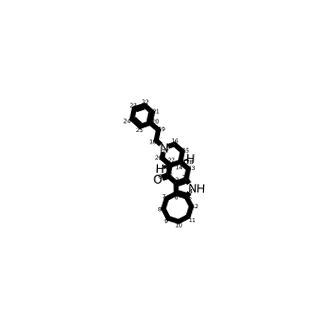 O=C1c2c([nH]c3c2CCCCCC3)C[C@@H]2CCN(CCc3ccccc3)C[C@@H]12